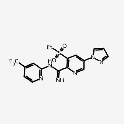 CCS(=O)(=O)c1cc(-n2cccn2)cnc1C(=N)Nc1cc(C(F)(F)F)ccn1